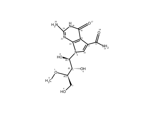 CO[C@H](CO)[C@@H](O)[C@@H](O)n1cc(C(N)=O)c2c(=O)[nH]c(N)nc21